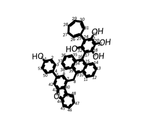 Oc1ccc(-c2cc(Cc3c4ccccc4c(-c4c(O)c(O)c(O)c(C5=CCC=CC=C5)c4O)c4ccccc34)c3c(c2)oc2ccccc23)cc1